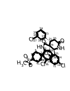 CS(=O)(=O)c1ccc(Oc2ccc(Cl)cc2[C@@H]2NC(=O)C[C@@H](C3C=CC=C(Cl)C3)[C@]23C(=O)Nc2cc(Cl)ccc23)cc1